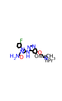 CCCN(C)CCCOc1cc2ncnc(NC3=CN(CC(N)=O)N(c4cccc(F)c4)C3)c2cc1OC